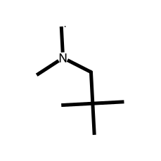 [CH2]N(C)CC(C)(C)C